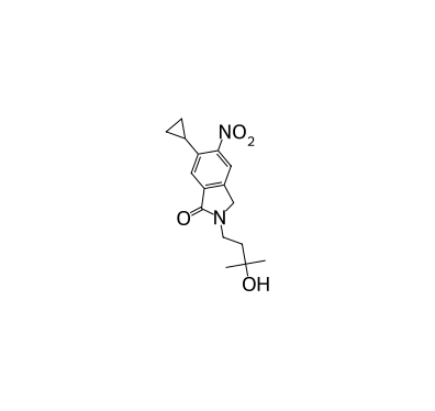 CC(C)(O)CCN1Cc2cc([N+](=O)[O-])c(C3CC3)cc2C1=O